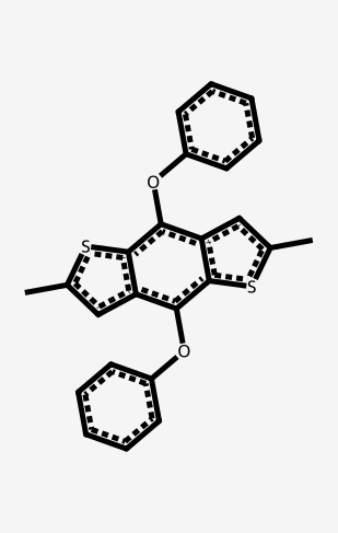 Cc1cc2c(Oc3ccccc3)c3sc(C)cc3c(Oc3ccccc3)c2s1